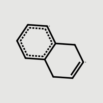 [C]1=CCc2ccc[c]c2C1